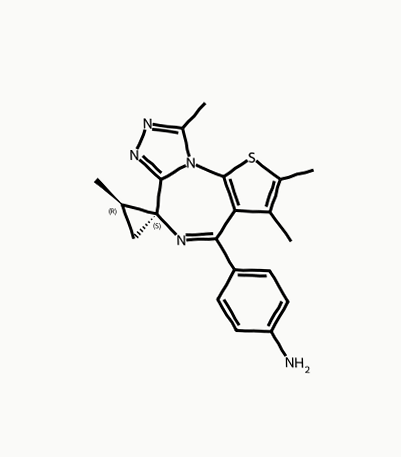 Cc1sc2c(c1C)C(c1ccc(N)cc1)=N[C@]1(C[C@H]1C)c1nnc(C)n1-2